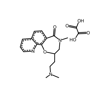 CN(C)CCC1CN(C)C(=O)c2ccc3cccnc3c2O1.O=C(O)C(=O)O